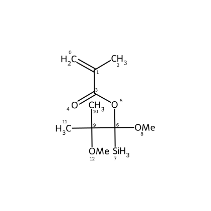 C=C(C)C(=O)OC([SiH3])(OC)C(C)(C)OC